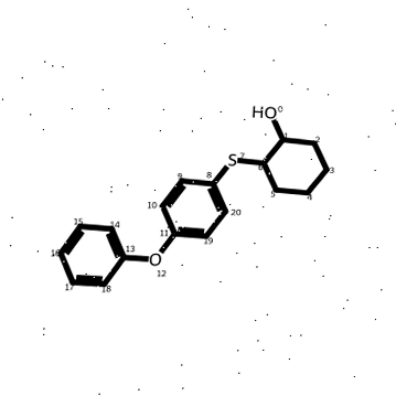 OC1CCCCC1Sc1ccc(Oc2ccccc2)cc1